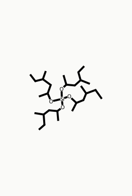 CCC(C)CC(C)O[Si](OC(C)CC(C)CC)(OC(C)CC(C)CC)OC(C)CC(C)CC